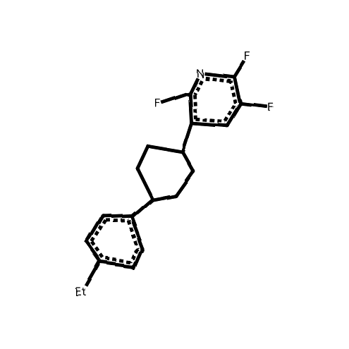 CCc1ccc(C2CCC(c3cc(F)c(F)nc3F)CC2)cc1